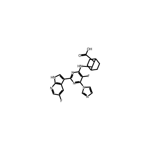 O=C(O)C1C2CCC(CC2)C1Nc1nc(-c2c[nH]c3ncc(F)cc23)nc(-n2ccnc2)c1F